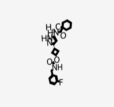 CC1(C(=O)Nc2cc([C@H]3C[C@@H](OC(=O)NCc4cccc(F)c4)C3)n[nH]2)CCCCC1